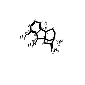 C=C1C[C@]23C[C@@]1(O)CC[C@H]2c1cccc(C)c1[C@@H]3N